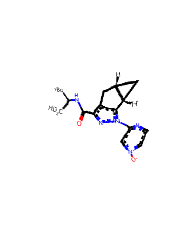 CC(C)(C)C(NC(=O)c1nn(-c2c[n+]([O-])ccn2)c2c1C[C@@H]1C[C@H]21)C(=O)O